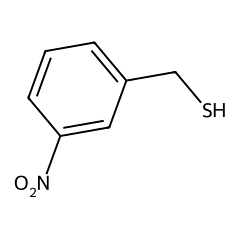 O=[N+]([O-])c1cccc(CS)c1